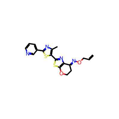 C=CCO/N=C1\CCOc2sc(-c3sc(-c4cccnc4)nc3C)nc21